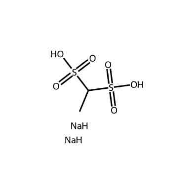 CC(S(=O)(=O)O)S(=O)(=O)O.[NaH].[NaH]